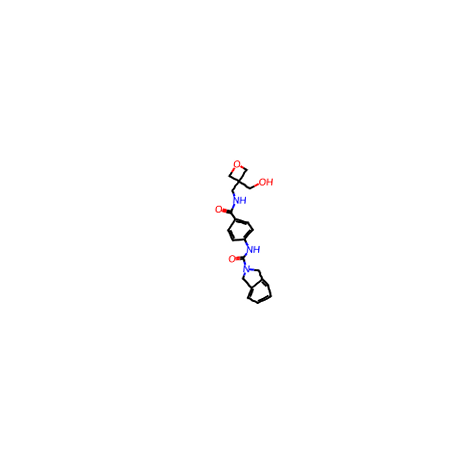 O=C(NCC1(CO)COC1)c1ccc(NC(=O)N2Cc3ccccc3C2)cc1